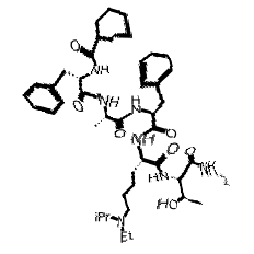 CCN(CCCC[C@H](NC(=O)[C@H](Cc1ccccc1)NC(=O)[C@H](C)NC(=O)[C@H](Cc1ccccc1)NC(=O)C1CCCCC1)C(=O)N[C@H](C(N)=O)[C@@H](C)O)C(C)C